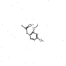 COc1cc(Cl)ccc1CC(C)=O